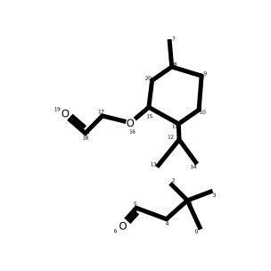 CC(C)(C)C[C]=O.CC1CCC(C(C)C)C(OC[C]=O)C1